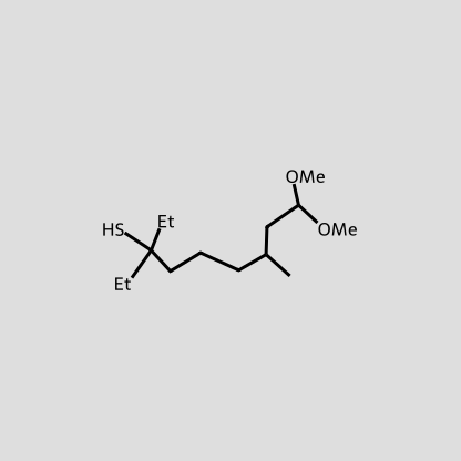 CCC(S)(CC)CCCC(C)CC(OC)OC